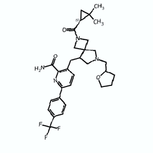 CC1(C)C[C@@H]1C(=O)N1CC2(CN(CC3CCCO3)CC2Cc2ccc(-c3ccc(C(F)(F)F)cc3)nc2C(N)=O)C1